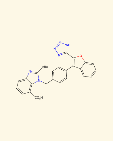 CCCCc1nc2cccc(C(=O)O)c2n1Cc1ccc(-c2c(-c3nnn[nH]3)oc3ccccc23)cc1